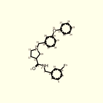 O=C(NCc1cccc(F)c1)C1CCN(Cc2cccc(Oc3ccccc3)c2)C1